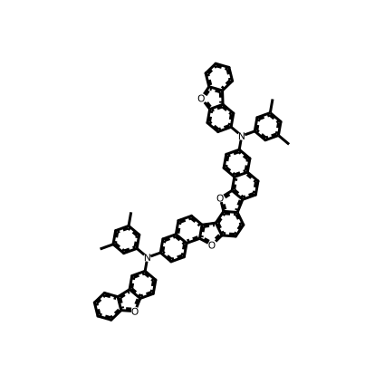 Cc1cc(C)cc(N(c2ccc3c(ccc4c5ccc6oc7c8ccc(N(c9cc(C)cc(C)c9)c9ccc%10oc%11ccccc%11c%10c9)cc8ccc7c6c5oc34)c2)c2ccc3oc4ccccc4c3c2)c1